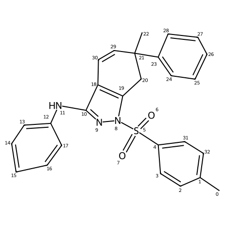 Cc1ccc(S(=O)(=O)n2nc(Nc3ccccc3)c3c2CC(C)(c2ccccc2)C=C3)cc1